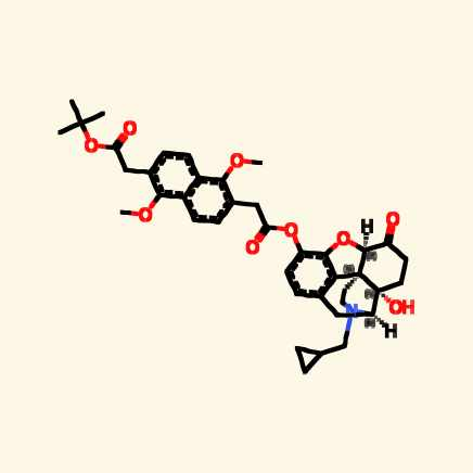 COc1c(CC(=O)Oc2ccc3c4c2O[C@H]2C(=O)CC[C@@]5(O)[C@@H](C3)N(CC3CC3)CC[C@]425)ccc2c(OC)c(CC(=O)OC(C)(C)C)ccc12